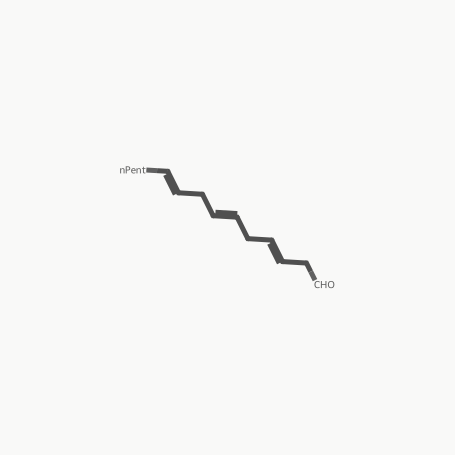 CCCCC/C=C/C/C=C/C/C=C/CC=O